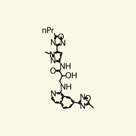 CCCc1nc(-c2cc(NC(=O)C(O)CNc3nccc4ccc(-c5noc(C)n5)cc34)nn2C)no1